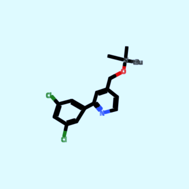 CC(C)(C)[Si](C)(C)OCc1ccnc(-c2cc(Cl)cc(Cl)c2)c1